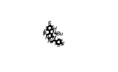 CCC(C)Nc1c(-c2c(F)cc(F)cc2F)c(F)nc2ncc(-c3ccc(F)cc3)nc12